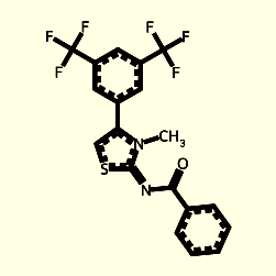 Cn1c(-c2cc(C(F)(F)F)cc(C(F)(F)F)c2)cs/c1=N/C(=O)c1ccccc1